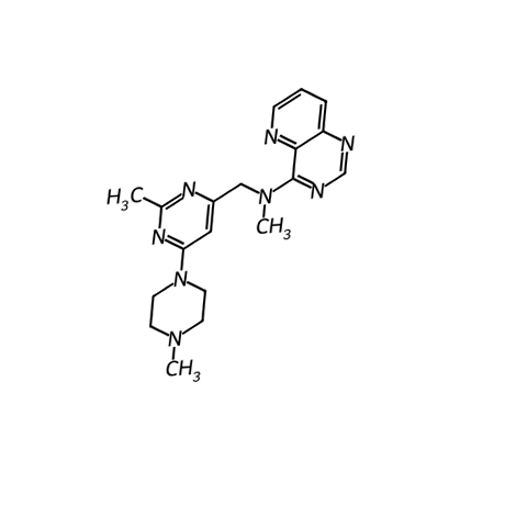 Cc1nc(CN(C)c2ncnc3cccnc23)cc(N2CCN(C)CC2)n1